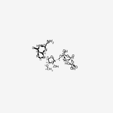 CO[C@H]1[C@@H](O)[C@@H](COP(=O)(O)OP(=O)(O)OP(=O)(O)O)O[C@H]1n1cnc2c(=O)[nH]c(N)nc21